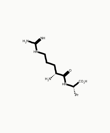 CC(C)[C@H](NC(=O)[C@H](N)CCCNC(=N)N)C(=O)O